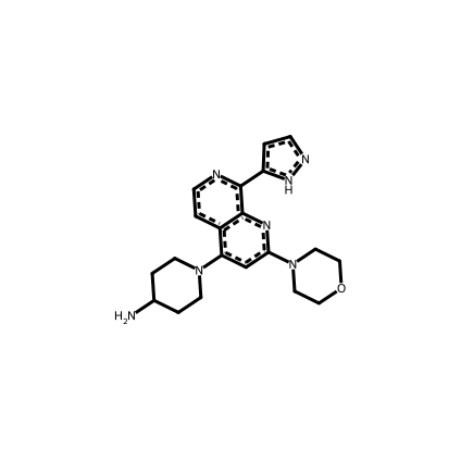 NC1CCN(c2cc(N3CCOCC3)nc3c(-c4ccn[nH]4)nccc23)CC1